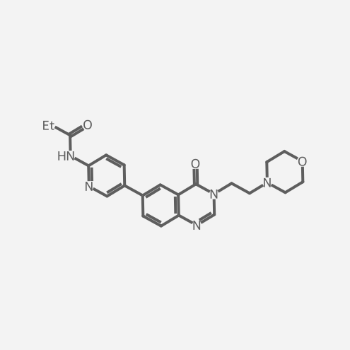 CCC(=O)Nc1ccc(-c2ccc3ncn(CCN4CCOCC4)c(=O)c3c2)cn1